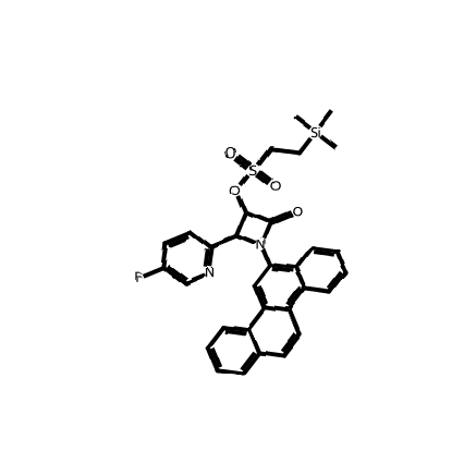 C[Si](C)(C)CCS(=O)(=O)OC1C(=O)N(c2cc3c4ccccc4ccc3c3ccccc23)C1c1ccc(F)cn1